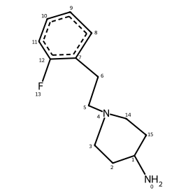 NC1CCN(CCc2ccccc2F)CC1